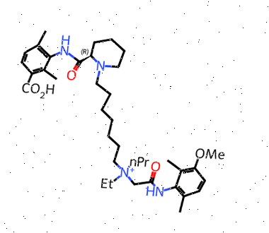 CCC[N+](CC)(CCCCCCCN1CCCC[C@@H]1C(=O)Nc1c(C)ccc(C(=O)O)c1C)CC(=O)Nc1c(C)ccc(OC)c1C